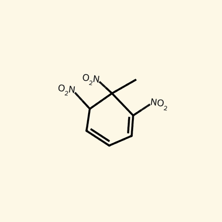 CC1([N+](=O)[O-])C([N+](=O)[O-])=CC=CC1[N+](=O)[O-]